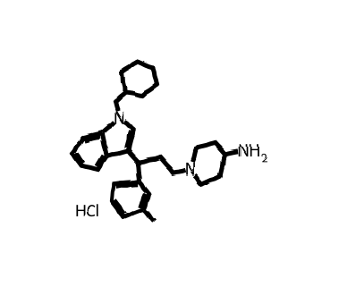 Cc1cccc(C(CCN2CCC(N)CC2)c2cn(CC3CCCCC3)c3ccccc23)c1.Cl